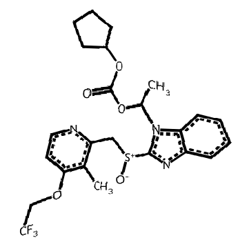 Cc1c(OCC(F)(F)F)ccnc1C[S+]([O-])c1nc2ccccc2n1C(C)OC(=O)OC1CCCC1